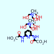 C[N+](CO)(CO)CO.C[N+](CO)(CO)CO.O=C(O)C(=O)Nc1cccc(NC(=O)C(=O)O)n1